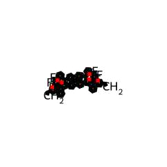 C=Cc1ccc(C2(c3c(F)c(F)c(F)c(F)c3F)c3ccccc3-c3ccc(N(c4ccccc4)c4ccc5c(c4)C4(c6ccccc6-c6ccccc64)c4cc(N(c6ccccc6)c6ccc7c(c6)C(c6ccc(C=C)cc6)(c6c(F)c(F)c(F)c(F)c6F)c6ccccc6-7)ccc4-5)cc32)cc1